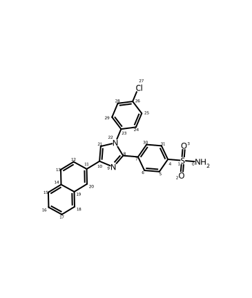 NS(=O)(=O)c1ccc(-c2nc(-c3ccc4ccccc4c3)cn2-c2ccc(Cl)cc2)cc1